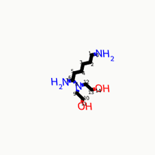 NCCCCCC(N)N(CCO)CCO